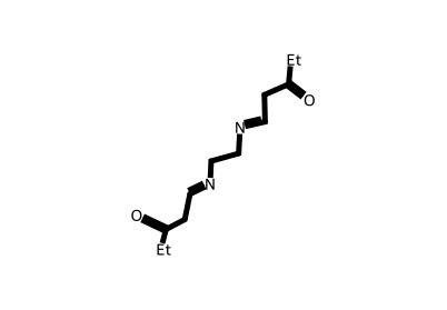 CCC(=O)CC=NCCN=CCC(=O)CC